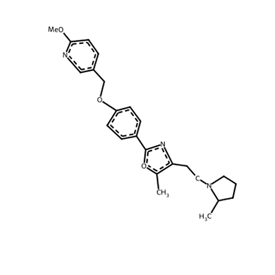 COc1ccc(COc2ccc(-c3nc(CCN4CCCC4C)c(C)o3)cc2)cn1